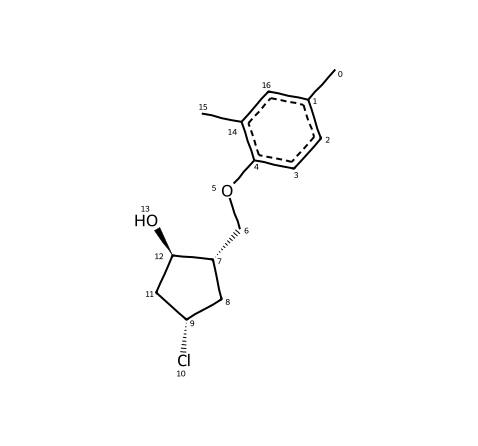 Cc1ccc(OC[C@@H]2C[C@H](Cl)C[C@H]2O)c(C)c1